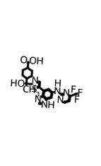 CC(O)(c1ncc(-c2cc(Nc3nccc(C(F)(F)F)n3)cc3[nH]cnc23)s1)C1CCC(C(=O)O)CC1